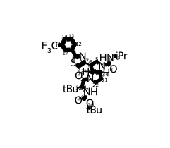 CC(C)NC(=O)N1C[C@H](c2csc(-c3cccc(C(F)(F)F)c3)n2)[C@@H]2[C@H]1CCN2C(=O)[C@@H](NC(=O)OC(C)(C)C)C(C)(C)C